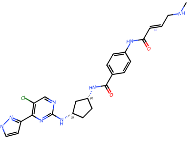 CNC/C=C/C(=O)Nc1ccc(C(=O)N[C@@H]2CC[C@H](Nc3ncc(Cl)c(-c4cc[nH]n4)n3)C2)cc1